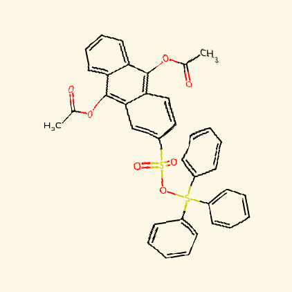 CC(=O)Oc1c2ccccc2c(OC(C)=O)c2cc(S(=O)(=O)OS(c3ccccc3)(c3ccccc3)c3ccccc3)ccc12